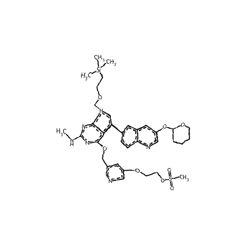 CNc1nc(OCc2cncc(OCCOS(C)(=O)=O)c2)c2c(-c3ccc4ncc(OC5CCCCO5)cc4c3)cn(COCC[Si](C)(C)C)c2n1